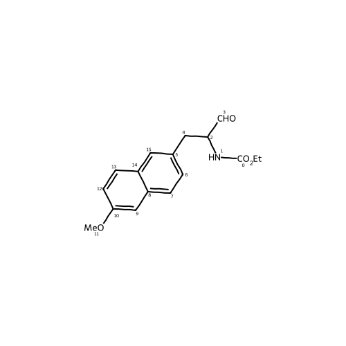 CCOC(=O)NC(C=O)Cc1ccc2cc(OC)ccc2c1